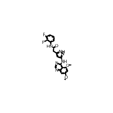 COc1cc(OC)c2c(Nc3cc(CC(=O)Nc4cccc(F)c4F)[nH]n3)ncnc2c1